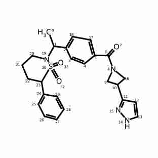 CC(c1ccc(C(=O)N2CC(c3cc[nH]n3)C2)cc1)N1CCCC(c2ccccc2)S1(=O)=O